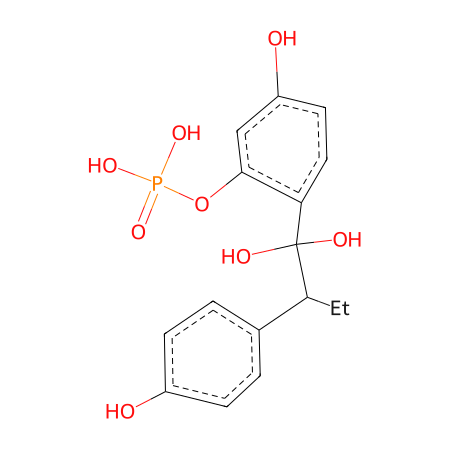 CCC(c1ccc(O)cc1)C(O)(O)c1ccc(O)cc1OP(=O)(O)O